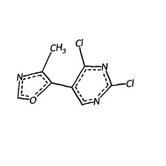 Cc1ncoc1-c1cnc(Cl)nc1Cl